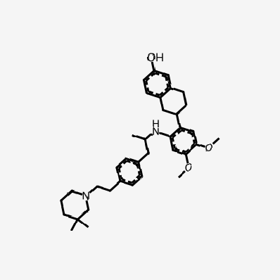 COc1cc(NC(C)Cc2ccc(CCN3CCCC(C)(C)C3)cc2)c(C2CCc3cc(O)ccc3C2)cc1OC